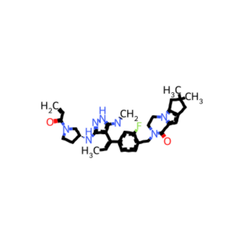 C=CC(=O)N1CC[C@@H](Nc2n[nH]c(N=C)c2/C(=C\C)c2ccc(CN3CCn4c(cc5c4CC(C)(C)C5)C3=O)c(F)c2)C1